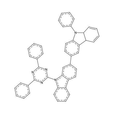 C1=CC2c3cc(-c4ccc5c6ccccc6n(-c6nc(-c7ccccc7)nc(-c7ccccc7)n6)c5c4)ccc3N(c3ccccc3)C2C=C1